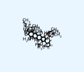 CCCCOc1noc2c1C(=O)[C@@]1(O[Si](C)(C)C(C)(C)C)C(O)=C3C(=O)c4c(c(OC(F)(F)F)c5c(c4OCCCC)N(C(=O)OC(C)(C)C)CC4CCN(C)C54)C[C@H]3C[C@H]1[C@@H]2N